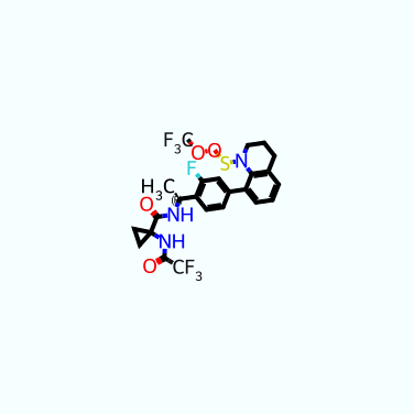 C[C@@H](NC(=O)C1(NC(=O)C(F)(F)F)CC1)c1ccc(-c2cccc3c2N(SOOC(F)(F)F)CCC3)cc1F